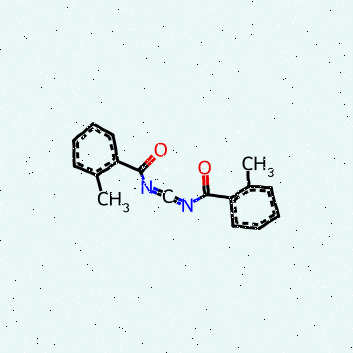 Cc1ccccc1C(=O)N=C=NC(=O)c1ccccc1C